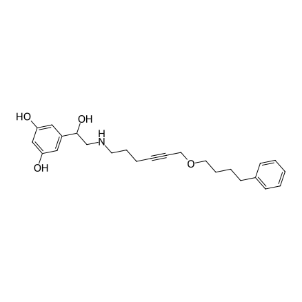 Oc1cc(O)cc(C(O)CNCCCC#CCOCCCCc2ccccc2)c1